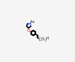 CC(=O)N1CC[C@H](Oc2ccc(/C=C/C(=O)O)cc2)C1